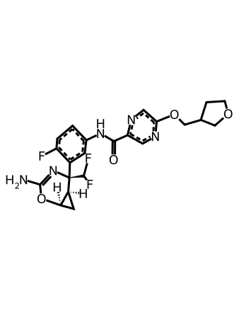 NC1=N[C@@](c2cc(NC(=O)c3cnc(OCC4CCOC4)cn3)ccc2F)(C(F)F)[C@H]2C[C@H]2O1